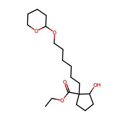 CCOC(=O)C1(CCCCCCOC2CCCCO2)CCCC1O